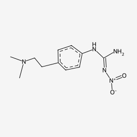 CN(C)CCc1ccc(NC(N)=N[N+](=O)[O-])cc1